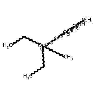 CCCCCCCC/C=C\CCCCCCCCOCC(OCCCCCCCC/C=C\CCCCCCCC)C(CCCCCCCCCCCC)OCCOCCOCCOCCOC(=O)CNCCOC(=O)CNCCOC